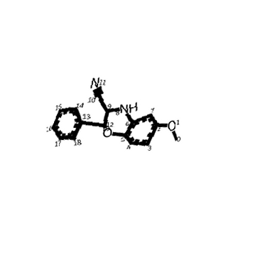 COc1ccc2c(c1)NC(C#N)C(c1ccccc1)O2